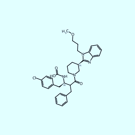 COCCCn1c([C@@H]2CCCN(C(=O)C(Cc3ccccc3)[C@@H](Cc3ccc(Cl)cc3)NC(=O)O)C2)nc2ccccc21